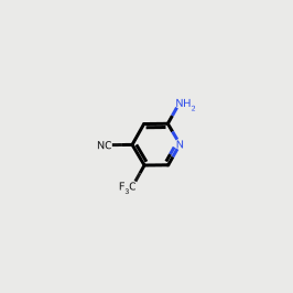 N#Cc1cc(N)ncc1C(F)(F)F